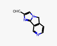 O=Cc1cn2c(n1)-c1cnccc1C2